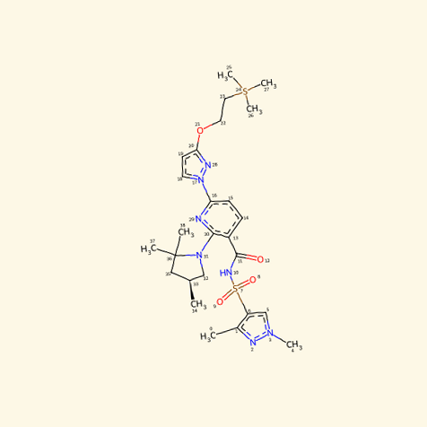 Cc1nn(C)cc1S(=O)(=O)NC(=O)c1ccc(-n2ccc(OCCS(C)(C)C)n2)nc1N1C[C@@H](C)CC1(C)C